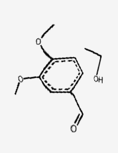 CCO.COc1ccc(C=O)cc1OC